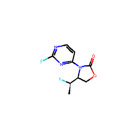 C[C@@H](F)C1COC(=O)N1c1ccnc(F)n1